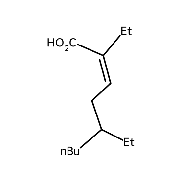 CCCCC(CC)CC=C(CC)C(=O)O